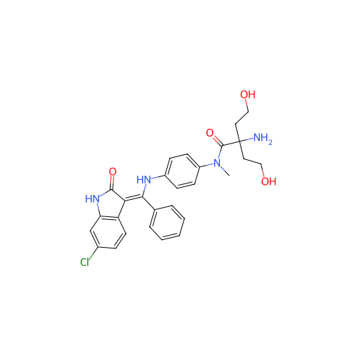 CN(C(=O)C(N)(CCO)CCO)c1ccc(N/C(=C2\C(=O)Nc3cc(Cl)ccc32)c2ccccc2)cc1